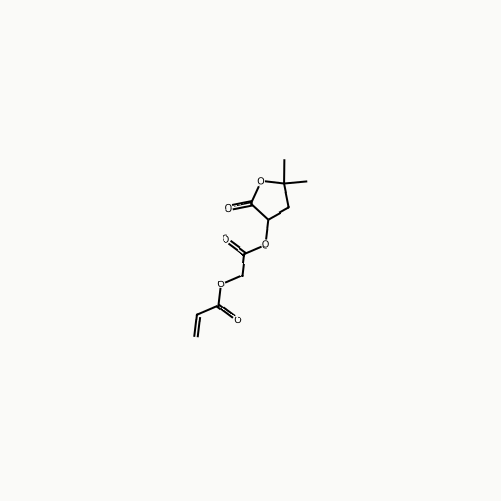 C=CC(=O)OCC(=O)OC1CC(C)(C)OC1=O